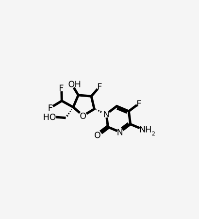 Nc1nc(=O)n([C@@H]2O[C@@](CO)(C(F)F)C(O)C2F)cc1F